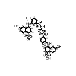 Cc1ccc(S(=O)(=O)NC(=O)NS(=O)(=O)c2ccc(C)c(Nc3ccc(S(=O)(=O)O)c4ccc(O)cc34)c2)cc1Nc1ccc(S(=O)(=O)O)c2ccc(O)cc12